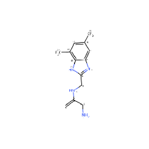 C=C(CN)NCc1nc2cc(C(F)(F)F)cc(C(F)(F)F)c2[nH]1